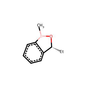 CC[C@H]1OB(C)c2ccccc21